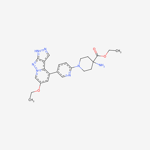 CCOC(=O)C1(N)CCN(c2ccc(-c3cc(OCC)cn4nc5[nH]ncc5c34)cn2)CC1